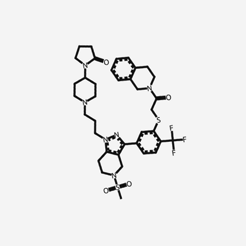 CS(=O)(=O)N1CCc2c(c(-c3ccc(C(F)(F)F)c(SCC(=O)N4CCc5ccccc5C4)c3)nn2CCCN2CCC(N3CCCC3=O)CC2)C1